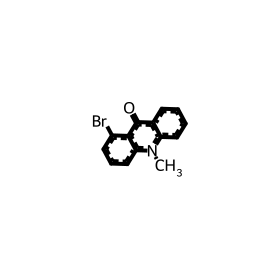 Cn1c2ccccc2c(=O)c2c(Br)cccc21